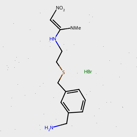 Br.CN/C(=C\[N+](=O)[O-])NCCSCc1cccc(CN)c1